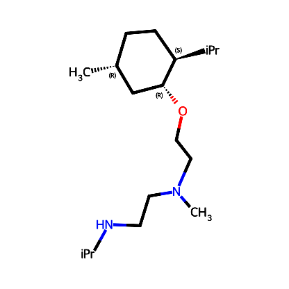 CC(C)NCCN(C)CCO[C@@H]1C[C@H](C)CC[C@H]1C(C)C